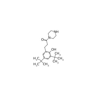 CC(C)(C)c1cc(CCC(=O)N2CCNCC2)c(O)c(C(C)(C)C)c1